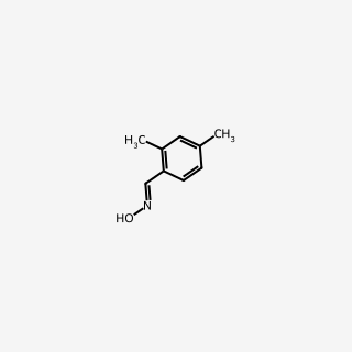 Cc1ccc(/C=N/O)c(C)c1